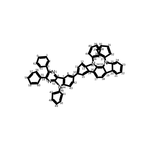 c1ccc(-c2nc3c4cc(-c5ccc6c(c5)c5ccc7c8ccccc8n(-c8ccccc8)c7c5n6-c5ccccc5)ccc4n(-c4ccccc4)c3nc2-c2ccccc2)cc1